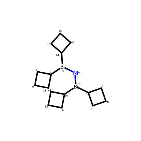 C1C[CH]([Bi]([NH][Bi]([CH]2CCC2)[CH]2CCC2)[CH]2CCC2)C1